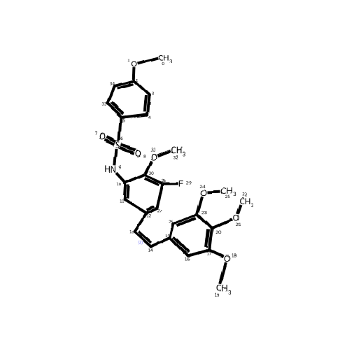 COc1ccc(S(=O)(=O)Nc2cc(/C=C\c3cc(OC)c(OC)c(OC)c3)cc(F)c2OC)cc1